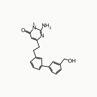 Cn1c(N)nc(CCc2cccc(-c3cccc(CO)c3)c2)cc1=O